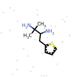 CC(C)(N)C(N)Cc1cccs1